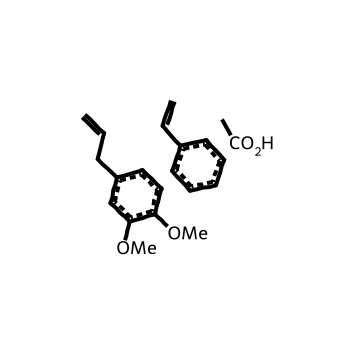 C=CCc1ccc(OC)c(OC)c1.C=Cc1ccccc1.CC(=O)O